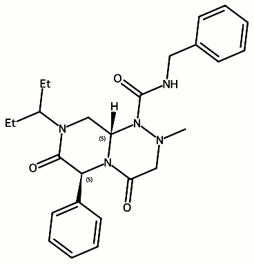 CCC(CC)N1C[C@H]2N(C(=O)CN(C)N2C(=O)NCc2ccccc2)[C@@H](c2ccccc2)C1=O